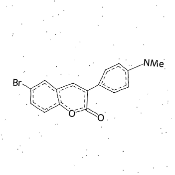 CNc1ccc(-c2cc3cc(Br)ccc3oc2=O)cc1